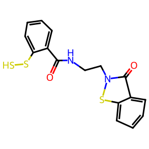 O=C(NCCn1sc2ccccc2c1=O)c1ccccc1SS